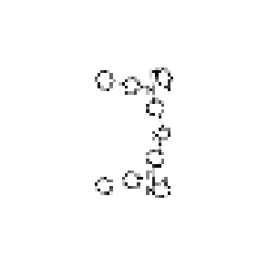 c1ccc(-c2ccc(N(c3ccc(-c4ccc(-c5ccc(N(c6ccc(-c7ccccc7)cc6)c6ncccn6)cc5)s4)cc3)c3ncccn3)cc2)cc1